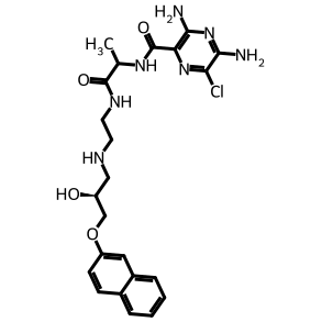 CC(NC(=O)c1nc(Cl)c(N)nc1N)C(=O)NCCNC[C@H](O)COc1ccc2ccccc2c1